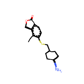 Cc1c(SCC2CCC(N)CC2)ccc2c1COC2=O